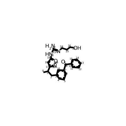 CC(Cc1cccc(C(=O)c2ccccc2)c1)c1cc(NC(N)=NCCCO)on1